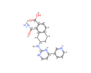 CN(c1nccc(-c2cccnc2)n1)C1CCc2ccc(C(=O)O)c(C(N)=O)c2C1